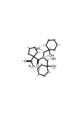 CC(C)[C@@H](N(C(=O)C1(C(N)=O)CCCC1)[C@H](C(C)C)C1(O)CCCCC1)C1(O)CCCCC1